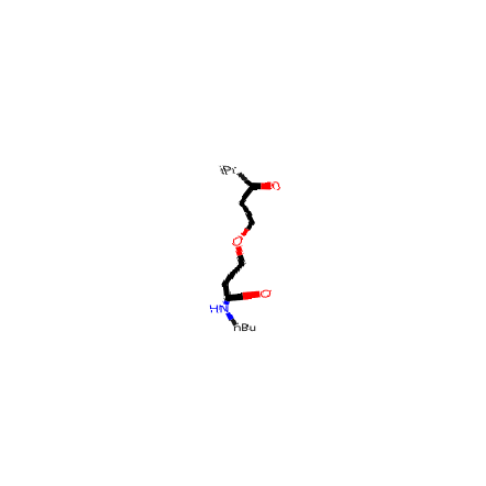 CCCCNC(=O)CCOCCC(=O)C(C)C